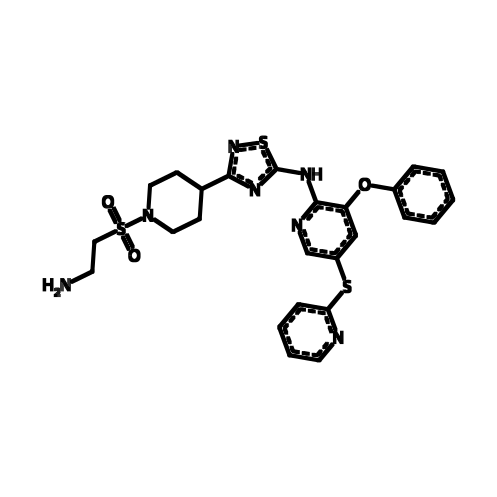 NCCS(=O)(=O)N1CCC(c2nsc(Nc3ncc(Sc4ccccn4)cc3Oc3ccccc3)n2)CC1